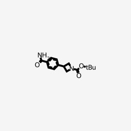 CC(C)(C)OC(=O)N1CC(c2ccc(C(N)=O)cc2)C1